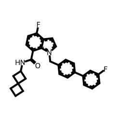 O=C(NC1CC2(CCC2)C1)c1ccc(F)c2ccn(Cc3ccc(-c4cccc(F)c4)cc3)c12